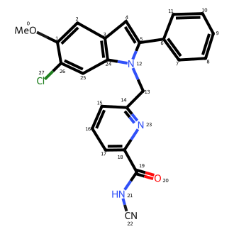 COc1cc2cc(-c3ccccc3)n(Cc3cccc(C(=O)NC#N)n3)c2cc1Cl